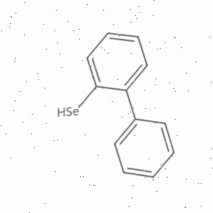 [SeH]c1ccccc1-c1cc[c]cc1